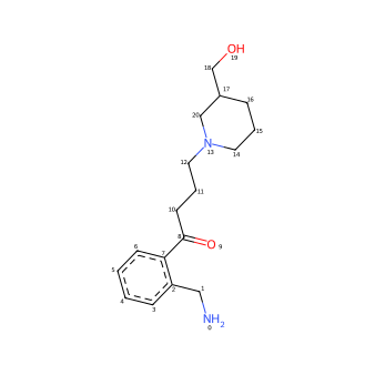 NCc1ccccc1C(=O)CCCN1CCCC(CO)C1